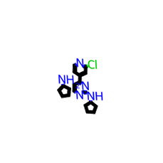 Clc1cc(-c2ccnc(NC3CCCC3)n2)ccn1.NC1CCCC1